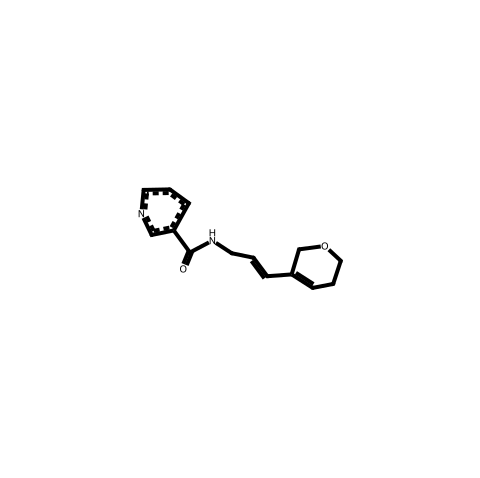 O=C(NCC=CC1=CCCOC1)c1cccnc1